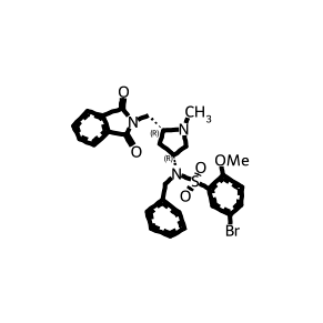 COc1ccc(Br)cc1S(=O)(=O)N(Cc1ccccc1)[C@@H]1C[C@H](CN2C(=O)c3ccccc3C2=O)N(C)C1